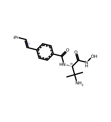 CC(C)/C=C/c1ccc(C(=O)N[C@H](C(=O)NO)C(C)(C)N)cc1